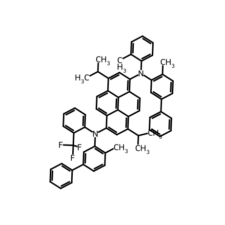 Cc1ccccc1N(c1cc(-c2ccccc2)ccc1C)c1cc(C(C)C)c2ccc3c(N(c4cc(-c5ccccc5)ccc4C)c4ccccc4C(F)(F)F)cc(C(C)C)c4ccc1c2c43